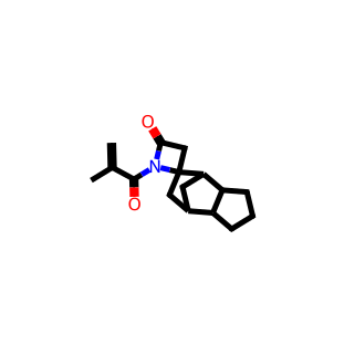 C=C(C)C(=O)N1C(=O)CC12CC1CC2C2CCCC12